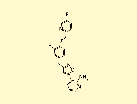 Nc1ncccc1-c1cc(Cc2ccc(OCc3ccc(F)cn3)c(F)c2)no1